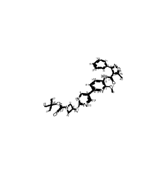 COc1nc(-c2cnc(OC3CN(C(=O)OC(C)(C)C)C3)nc2)ccc1NC(=O)c1c(-c2ccccc2)noc1C